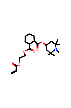 C=CC(=O)OCCOC(=O)C1CCCCC1C(=O)OC1CC(C)(C)N(C)C(C)(C)C1